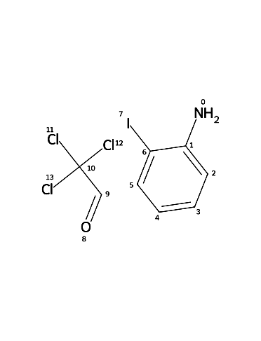 Nc1ccccc1I.O=CC(Cl)(Cl)Cl